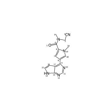 CN(CC#N)C(=O)c1cc(-c2ncnc3[nH]ccc23)cn1C